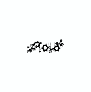 CS(=O)(=O)Nc1cccc(C(=O)N[C@H]2CC[C@@H](Nc3cccc4nc(C(F)(F)F)cn34)CC2)c1